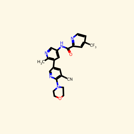 Cc1ncc(NC(=O)c2cc(C(F)(F)F)ccn2)cc1-c1cnc(N2CCOCC2)c(C#N)c1